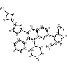 CC(=O)N1CC(n2cc(-c3nc(N4CCOC[C@@H]4c4ccccc4)c4cc(-c5c(C)noc5C)ccc4n3)cn2)C1